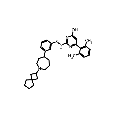 Cc1cccc(C)c1-c1cc(O)nc(NSc2cccc(C3CCCN(C4CC5(CCCC5)C4)CC3)c2)n1